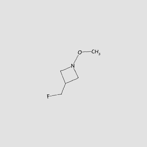 CON1CC(CF)C1